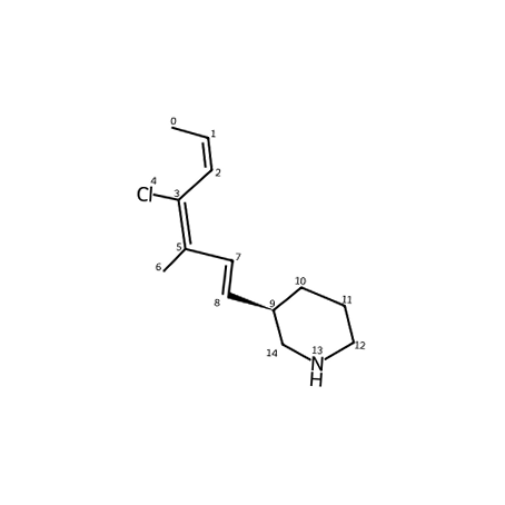 C\C=C/C(Cl)=C(C)\C=C\[C@H]1CCCNC1